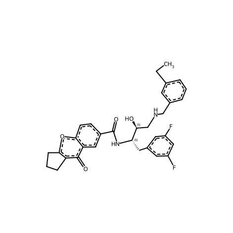 CCc1cccc(CNC[C@H](O)[C@H](Cc2cc(F)cc(F)c2)NC(=O)c2ccc3oc4c(c(=O)c3c2)CCC4)c1